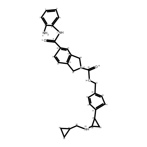 Nc1ccccc1NC(=O)c1ccc2c(c1)CN(C(=O)OCc1ccc(C3CC3NCC3CC3)cc1)C2